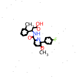 COc1ccc(C(=O)NC(CC(=O)O)c2ccccc2C)nc1-c1ccc(F)cc1